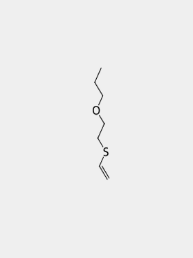 C=CSCCOCCC